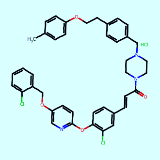 Cc1ccc(OCCc2ccc(CN3CCN(C(=O)C=Cc4ccc(Oc5ccc(OCc6ccccc6Cl)cn5)c(Cl)c4)CC3)cc2)cc1.Cl